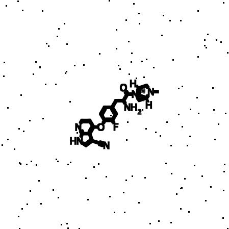 CN1C[C@@H]2C[C@H]1CN2C(=O)C(N)Cc1ccc(Oc2ccnc3[nH]cc(C#N)c23)c(F)c1